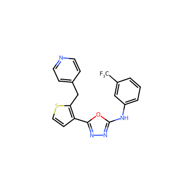 FC(F)(F)c1cccc(Nc2nnc(-c3ccsc3Cc3ccncc3)o2)c1